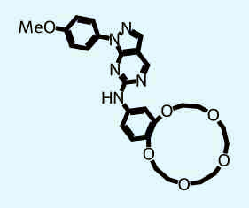 COc1ccc(-n2ncc3cnc(Nc4ccc5c(c4)OCCOCCOCCOCCO5)nc32)cc1